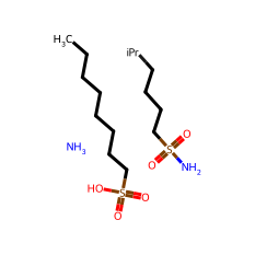 CC(C)CCCCS(N)(=O)=O.CCCCCCCCS(=O)(=O)O.N